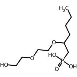 [CH2]CCCC(CP(=O)(O)O)OCCOCCO